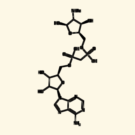 CC(=O)NC1[C@H](O)O[C@H](COP(=O)(O)CP(=O)(O)OC[C@H]2O[C@@H](n3cnc4c(N)ncnc43)C(O)C2O)[C@@H]1O